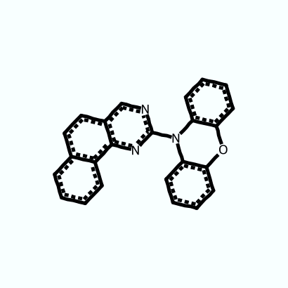 c1ccc2c(c1)Oc1ccccc1N2c1ncc2ccc3ccccc3c2n1